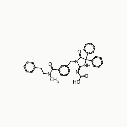 CN(CCc1ccccc1)C(=O)c1cccc(CN2C(=O)C(c3ccccc3)(c3ccccc3)NC2=NC(=O)O)c1